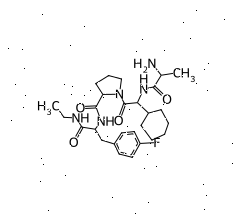 CCNC(=O)C(Cc1ccc(F)cc1)NC(=O)C1CCCN1C(=O)C(NC(=O)C(C)N)C1CCCCC1